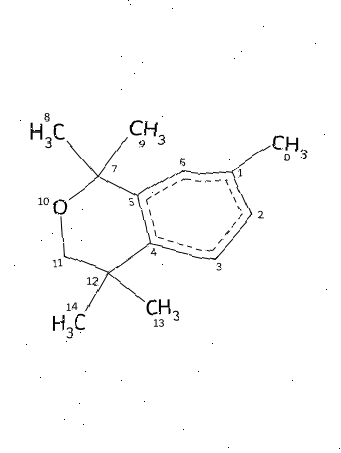 Cc1ccc2c(c1)C(C)(C)OCC2(C)C